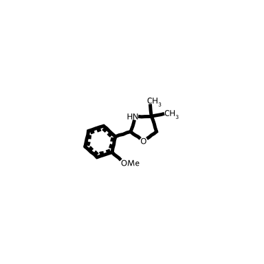 COc1ccccc1C1NC(C)(C)CO1